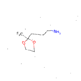 NCCCC1(C(F)(F)F)OCCO1